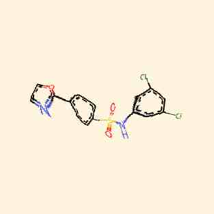 O=S(=O)(Nc1cc(Cl)cc(Cl)c1)c1ccc(-c2ncco2)cc1